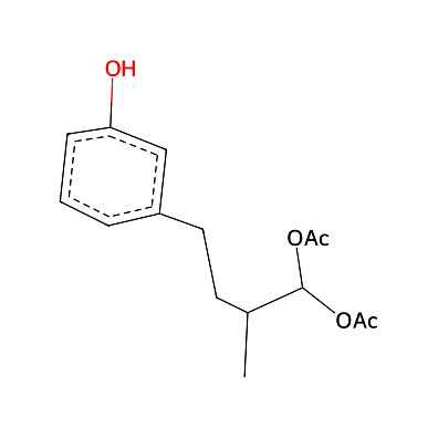 CC(=O)OC(OC(C)=O)C(C)CCc1cccc(O)c1